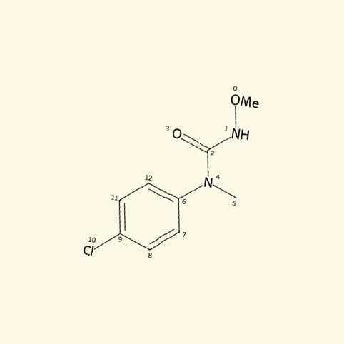 CONC(=O)N(C)c1ccc(Cl)cc1